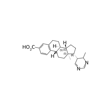 CC1N=CN=CC1[C@H]1CC[C@H]2[C@@H]3CCc4cc(C(=O)O)ccc4[C@H]3CC[C@]12C